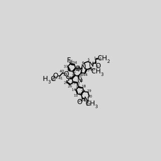 C=CC(=O)N1CCn2nc(-c3nc(-c4ccc5c(c4)CCN(C)C5=O)c4ccsc4c3-c3c(F)cc(F)cc3OCCOC)cc2[C@H]1C